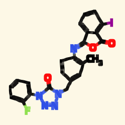 Cc1cc(Cn2nnn(-c3ccccc3F)c2=O)ccc1N=C1OC(=O)c2c(I)cccc21